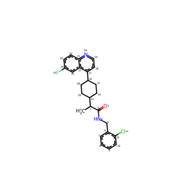 CC(C(=O)NCc1ccccc1Cl)C1CCC(c2ccnc3ccc(F)cc23)CC1